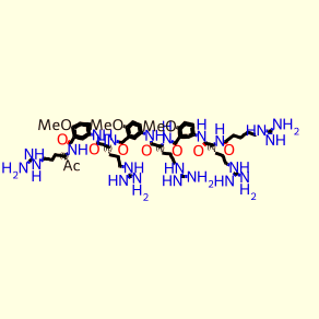 COc1ccc(NC(=O)[C@@H](CCCNC(=N)N)NC(=O)c2cc(NC(=O)[C@@H](CCCNC(=N)N)NC(=O)c3cc(NC(=O)[C@@H](CCCNC(=N)N)NC(=O)CCCCNC(=N)N)ccc3OC)ccc2OC)cc1C(=O)N[C@H](CCCNC(=N)N)C(C)=O